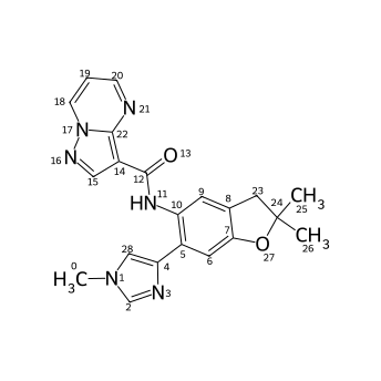 Cn1cnc(-c2cc3c(cc2NC(=O)c2cnn4cccnc24)CC(C)(C)O3)c1